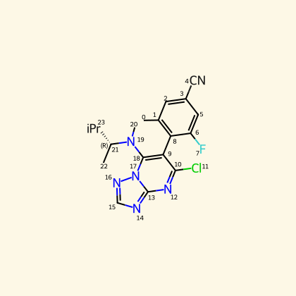 Cc1cc(C#N)cc(F)c1-c1c(Cl)nc2ncnn2c1N(C)[C@H](C)C(C)C